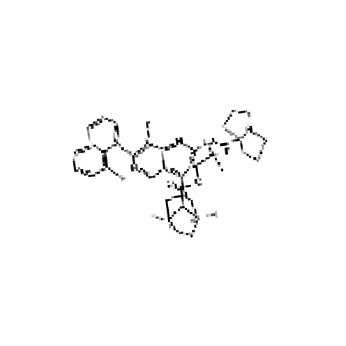 O=C(OCC(F)(F)F)C1[C@@H]2CC[C@H]1CN(c1nc(OCC34CCCN3CCC4)nc3c(F)c(-c4cccc5cccc(F)c45)ncc13)C2